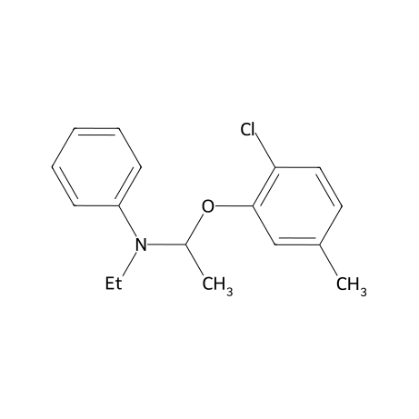 CCN(c1ccccc1)C(C)Oc1cc(C)ccc1Cl